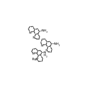 Nc1cc2cccnc2c2ncccc12.Nc1cc2cccnc2c2ncccc12.Nc1cc2cccnc2c2ncccc12.[Ru+2]